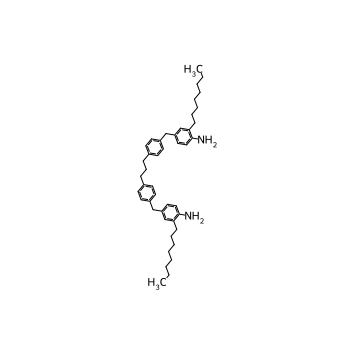 CCCCCCCCc1cc(Cc2ccc(CCCc3ccc(Cc4ccc(N)c(CCCCCCCC)c4)cc3)cc2)ccc1N